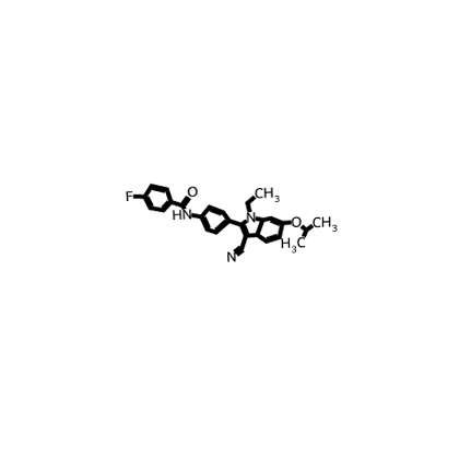 CCN1C(c2ccc(NC(=O)c3ccc(F)cc3)cc2)=C(C#N)C2C=CC(OC(C)C)=CC21